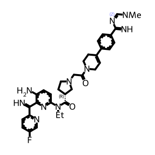 CCN(C(=O)[C@@H]1CCN(CC(=O)N2CC=C(c3ccc(C(=N)/N=C\NC)cc3)CC2)C1)c1ccc(N)c(C(=N)c2ccc(F)cn2)n1